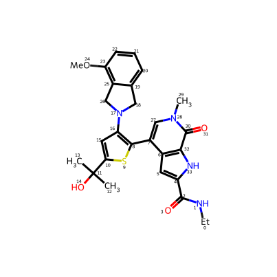 CCNC(=O)c1cc2c(-c3sc(C(C)(C)O)cc3N3Cc4cccc(OC)c4C3)cn(C)c(=O)c2[nH]1